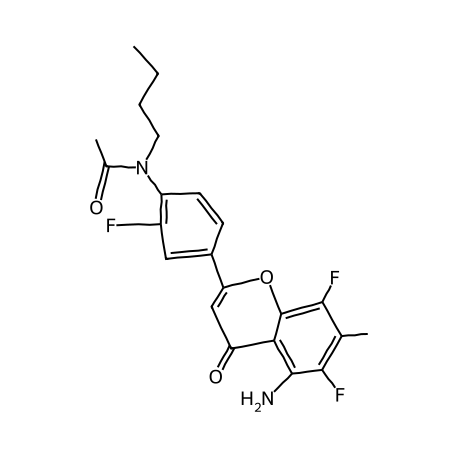 CCCCN(C(C)=O)c1ccc(-c2cc(=O)c3c(N)c(F)c(C)c(F)c3o2)cc1F